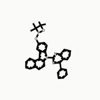 CC1(C)OP(Oc2ccc3c(c2)c2c4ccccc4ccc2n3-c2nc(-c3ccccc3)c3ccccc3n2)C1(C)C